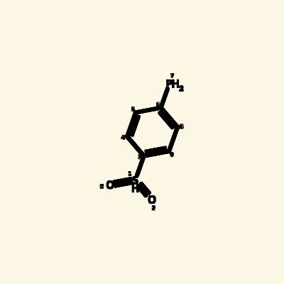 O=[SH](=O)c1ccc(P)cc1